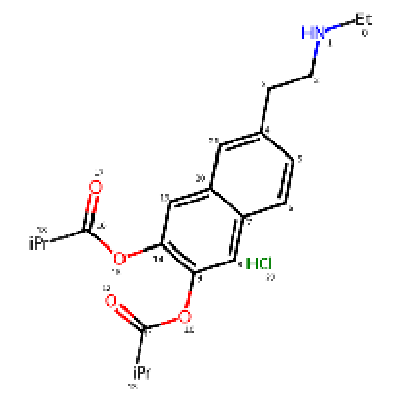 CCNCCc1ccc2cc(OC(=O)C(C)C)c(OC(=O)C(C)C)cc2c1.Cl